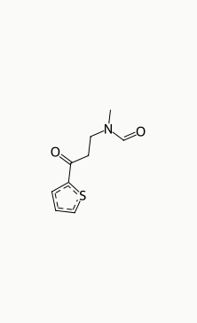 CN(C=O)CCC(=O)c1cccs1